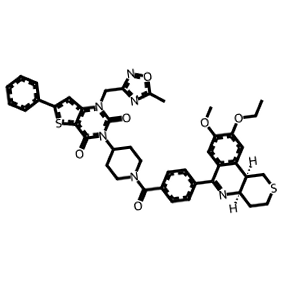 CCOc1cc2c(cc1OC)C(c1ccc(C(=O)N3CCC(n4c(=O)c5sc(-c6ccccc6)cc5n(Cc5noc(C)n5)c4=O)CC3)cc1)=N[C@@H]1CCSC[C@H]21